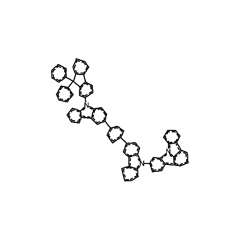 c1ccc(C2(c3ccccc3)c3ccccc3-c3ccc(-n4c5ccccc5c5cc(-c6ccc(-c7ccc8c(c7)c7ccccc7n8-c7ccc8c9cccc%10c%11ccccc%11n(c8c7)c%109)cc6)ccc54)cc32)cc1